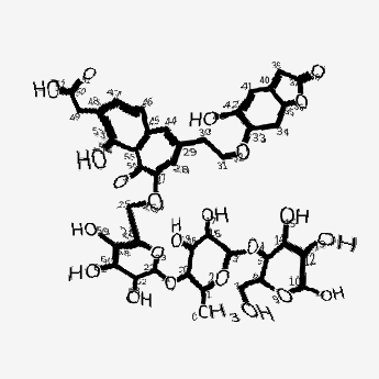 CC1OC(OC2C(CO)OC(O)C(O)C2O)C(O)C(O)C1OC1OC(COc2cc(CCOC3CC4OC(=O)C=C4C=C3O)cc3ccc(CC(=O)O)c(O)c3c2=O)C(O)C(O)C1O